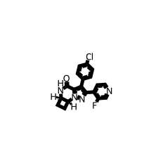 O=C1N[C@H]2CC[C@H]2n2nc(-c3ccncc3F)c(-c3ccc(Cl)cc3)c21